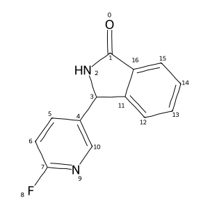 O=C1NC(c2ccc(F)nc2)c2ccccc21